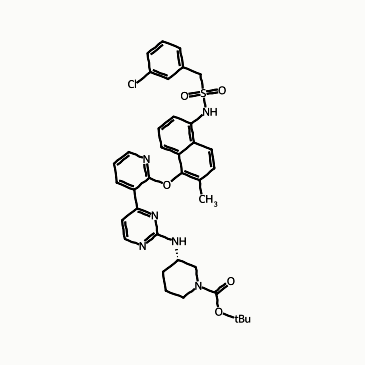 Cc1ccc2c(NS(=O)(=O)Cc3cccc(Cl)c3)cccc2c1Oc1ncccc1-c1ccnc(N[C@H]2CCCN(C(=O)OC(C)(C)C)C2)n1